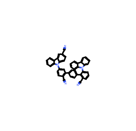 N#Cc1ccc2c(c1)c1ccccc1n2-c1ccc(C#N)c(-c2ccc(-c3c(C#N)cccc3-n3c4ccccc4c4ccccc43)cc2)c1